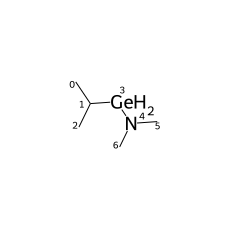 C[CH](C)[GeH2][N](C)C